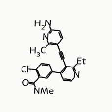 CCc1nccc(-c2ccc(Cl)c(C(=O)NC)c2)c1C#Cc1ccc(N)nc1C